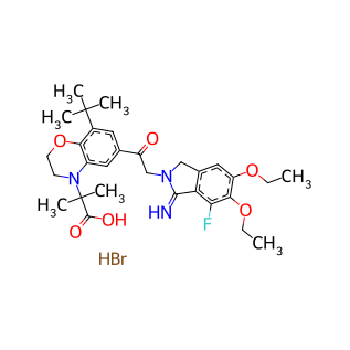 Br.CCOc1cc2c(c(F)c1OCC)C(=N)N(CC(=O)c1cc3c(c(C(C)(C)C)c1)OCCN3C(C)(C)C(=O)O)C2